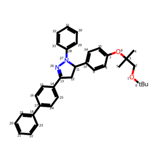 CC(C)(C)OCC(C)(C)Oc1ccc(C2CC(c3ccc(-c4ccccc4)cc3)=NN2c2ccccc2)cc1